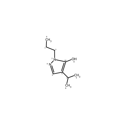 CCCn1ncc(C(C)C)c1O